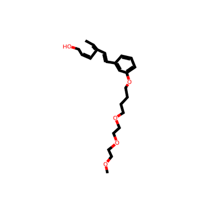 C/C=C(\C=C/CO)/C=C/c1cccc(OCCCCOCCOCCOC)c1